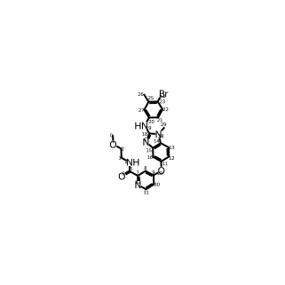 COCCNC(=O)c1cc(Oc2ccc3c(c2)nc(Nc2ccc(Br)c(C)c2)n3C)ccn1